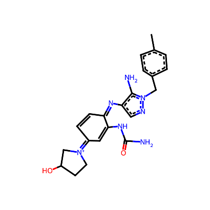 Cc1ccc(Cn2ncc(/N=C3C=C/C(=[N+]4/CCC(O)C4)C=C/3NC(N)=O)c2N)cc1